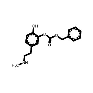 CNCCc1ccc(O)c(OC(=O)OCc2ccccc2)c1